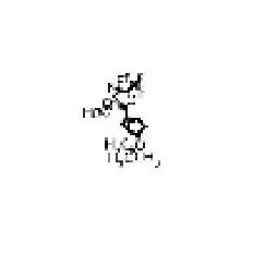 CC(C)(C)OC1CC2CC1CC2C(=O)OC(C(F)(F)F)C(F)(F)SOOO